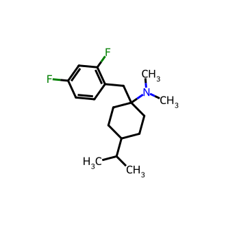 CC(C)C1CCC(Cc2ccc(F)cc2F)(N(C)C)CC1